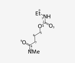 CCNC(=O)OCCCC(=O)NC